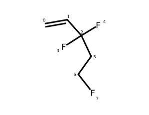 C=CC(F)(F)CCF